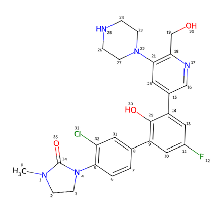 CN1CCN(c2ccc(-c3cc(F)cc(-c4cnc(CO)c(N5CCNCC5)c4)c3O)cc2Cl)C1=O